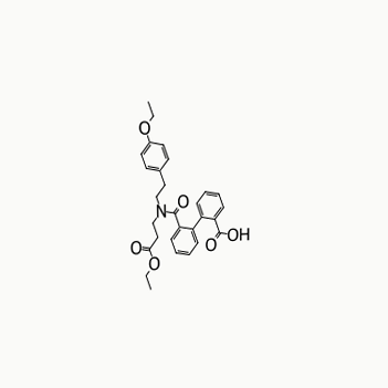 CCOC(=O)CCN(CCc1ccc(OCC)cc1)C(=O)c1ccccc1-c1ccccc1C(=O)O